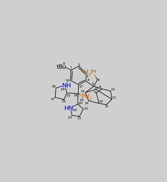 CC(C)(C)c1ccc(C2(CP)C3CC4CC(C3)CC2C4)c(C(P)(C2CCCN2)C2CCCN2)c1